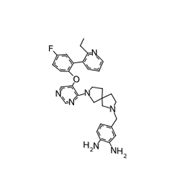 CCc1ncccc1-c1cc(F)ccc1Oc1cncnc1N1CCC2(CCN(Cc3ccc(N)c(N)c3)C2)C1